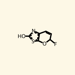 Oc1nc2c(s1)OC(F)C=C2